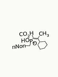 CCCCCCCCCCP(=O)(O)C(C(=O)O)=C(C)C1CCCCC1